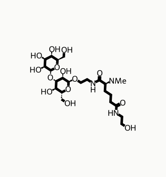 CN[C@@H](CCCC(=O)NCCO)C(=O)NCCO[C@H]1O[C@H](CO)[C@@H](O)[C@H](O[C@H]2O[C@H](CO)[C@@H](O)[C@H](O)[C@@H]2O)[C@@H]1O